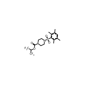 Cc1cc(C)c(C)c(S(=O)(=O)N2CCN(C(=O)OC(C(F)(F)F)C(F)(F)F)CC2)c1C